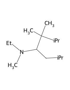 CCN(C)C(CC(C)C)C(C)(C)C(C)C